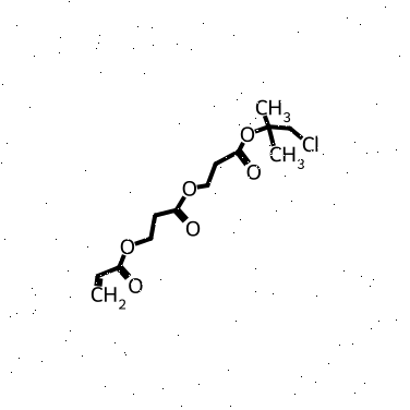 C=CC(=O)OCCC(=O)OCCC(=O)OC(C)(C)CCl